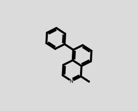 Cc1nccc2c(-c3ccccc3)cccc12